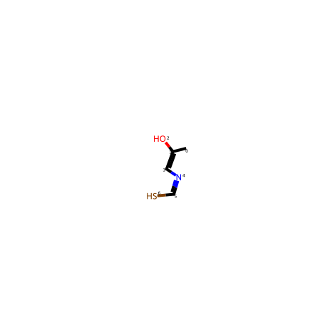 C/C(O)=C\N=C/S